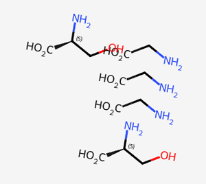 NCC(=O)O.NCC(=O)O.NCC(=O)O.N[C@@H](CO)C(=O)O.N[C@@H](CO)C(=O)O